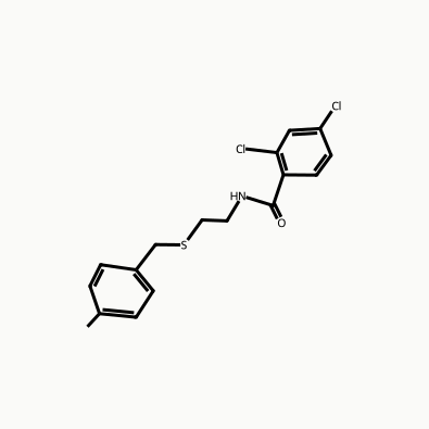 Cc1ccc(CSCCNC(=O)c2ccc(Cl)cc2Cl)cc1